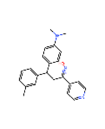 Cc1cccc(C(C/C(=N\O)c2ccncc2)c2ccc(N(C)C)cc2)c1